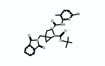 Cc1ccc(Br)nc1NC(=O)[C@@H]1CC2(CN3C(=O)c4ccccc4C3=O)CC2N1C(=O)OC(C)(C)C